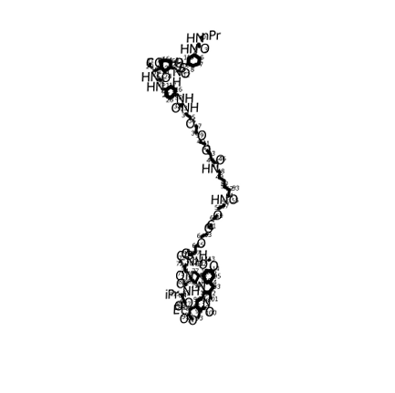 CCCNC(=O)Nc1cccc(S(=O)(=O)Nc2cccc([C@@H](CC(=O)O)NC(=O)Nc3ccc(NC(=O)NCCOCCOCCOCCC(=O)NCCCC[C@H](C)C(=O)NCCOCCOCCOCCC(=O)N[C@@H](CC(=O)O)C(=O)N4CCC[C@H]4C(=O)N[C@H](C(=O)O[C@]4(CC)C(=O)OCc5c4cc4n(c5=O)Cc5cc6cc7c(cc6nc5-4)OCO7)C(C)C)cc3)c2)c1